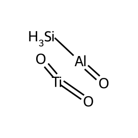 [O]=[Al][SiH3].[O]=[Ti]=[O]